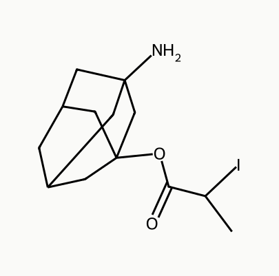 CC(I)C(=O)OC12CC3CC(CC(N)(C3)C1)C2